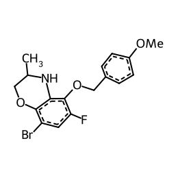 COc1ccc(COc2c(F)cc(Br)c3c2NC(C)CO3)cc1